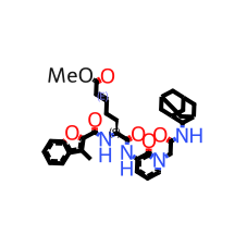 COC(=O)/C=C/CC[C@H](NC(=O)c1oc2ccccc2c1C)C(=O)Nc1cccn(CC(=O)NC2C3CC4CC(C3)CC2C4)c1=O